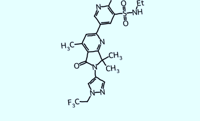 CCNS(=O)(=O)c1cc(-c2cc(C)c3c(n2)C(C)(C)N(c2cnn(CC(F)(F)F)c2)C3=O)cnc1OC